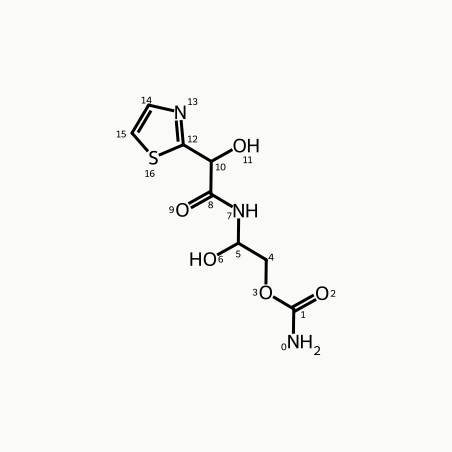 NC(=O)OCC(O)NC(=O)C(O)c1nccs1